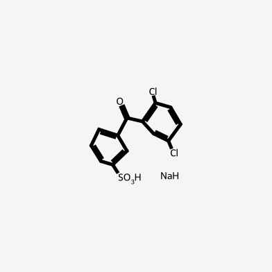 O=C(c1cccc(S(=O)(=O)O)c1)c1cc(Cl)ccc1Cl.[NaH]